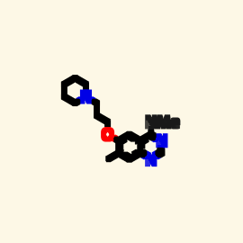 CNc1ncnc2cc(C)c(OCCCN3CCCCC3)cc12